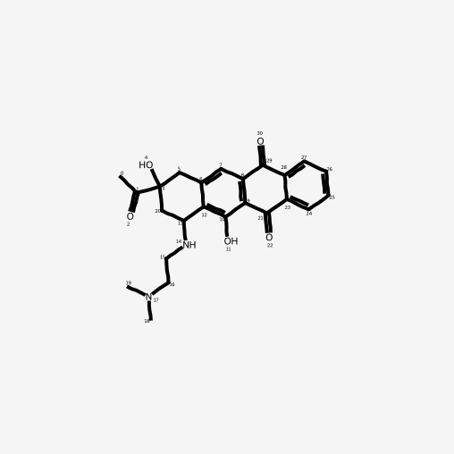 CC(=O)C1(O)Cc2cc3c(c(O)c2C(NCCN(C)C)C1)C(=O)c1ccccc1C3=O